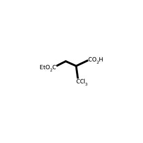 CCOC(=O)CC(C(=O)O)C(Cl)(Cl)Cl